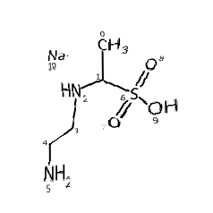 CC(NCCN)S(=O)(=O)O.[Na]